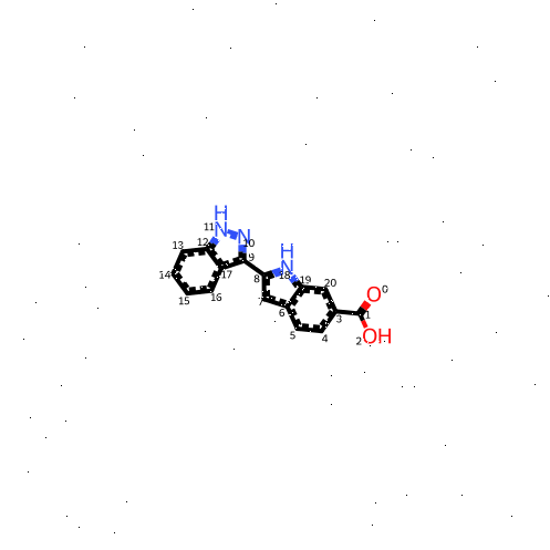 O=C(O)c1ccc2cc(-c3n[nH]c4ccccc34)[nH]c2c1